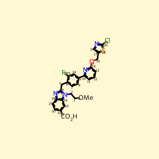 COCCn1c(Cc2ccc(-c3cccc(OCc4cnc(Cl)s4)n3)cc2F)nc2ccc(C(=O)O)cc21